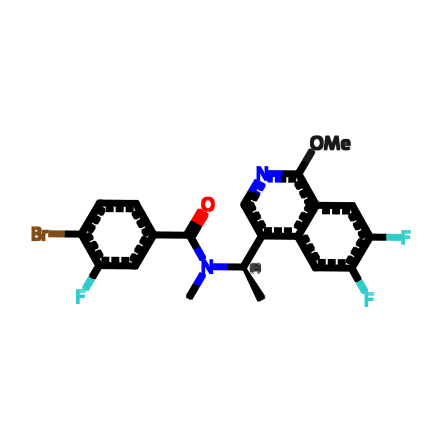 COc1ncc([C@@H](C)N(C)C(=O)c2ccc(Br)c(F)c2)c2cc(F)c(F)cc12